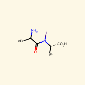 CCCC(N)C(=O)N(I)[C@H](C(=O)O)C(C)C